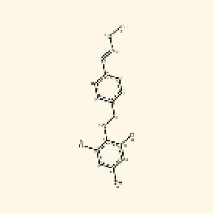 CCC(C)O/N=C/c1ccc(COc2c(Cl)cc(O)cc2Cl)cc1